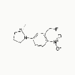 C[C@H]1CCCN1c1ccc([N+](=O)[O-])c(CF)c1